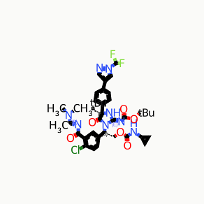 C/C(=N\C(=O)c1cc([C@@H](COC(=O)NC2CC2)N2C(=O)[C@@](CC(C)(C)C)(c3ccc(-c4cnn(C(F)F)c4)cc3)N/C2=N\C(=O)OC(C)(C)C)ccc1Cl)N(C)C